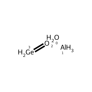 O.[AlH3].[O]=[GeH2]